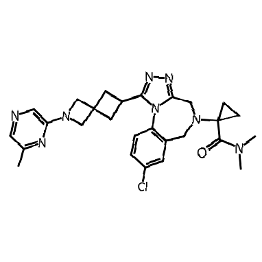 Cc1cncc(N2CC3(CC(c4nnc5n4-c4ccc(Cl)cc4CN(C4(C(=O)N(C)C)CC4)C5)C3)C2)n1